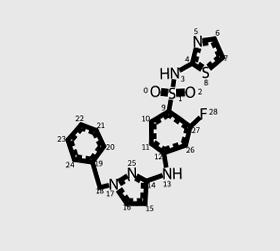 O=S(=O)(Nc1nccs1)c1ccc(Nc2ccn(Cc3ccccc3)n2)cc1F